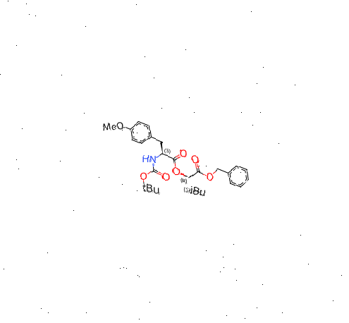 CC[C@H](C)[C@@H](OC(=O)[C@H](Cc1ccc(OC)cc1)NC(=O)OC(C)(C)C)C(=O)OCc1ccccc1